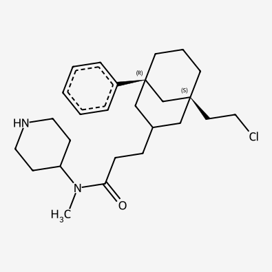 CN(C(=O)CCC1C[C@@]2(CCCl)CCC[C@@](c3ccccc3)(C1)C2)C1CCNCC1